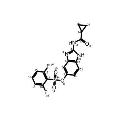 O=C(Nc1nc2cc(OS(=O)(=O)c3c(F)cccc3F)ccc2[nH]1)C1CC1